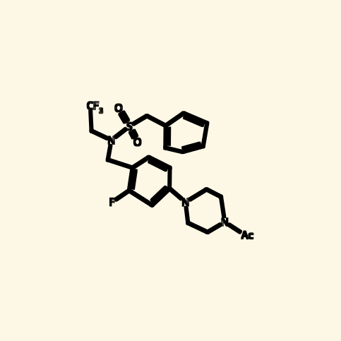 CC(=O)N1CCN(c2ccc(CN(CC(F)(F)F)S(=O)(=O)Cc3ccccc3)c(F)c2)CC1